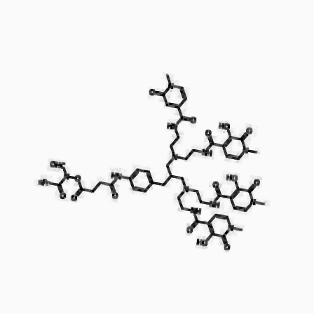 CCCC(=O)N(C=O)OC(=O)CCC(=O)Nc1ccc(CC(CN(CCNC(=O)c2ccn(C)c(=O)c2)CCNC(=O)c2ccn(C)c(=O)c2O)CN(CCNC(=O)c2ccn(C)c(=O)c2O)CCNC(=O)c2ccn(C)c(=O)c2O)cc1